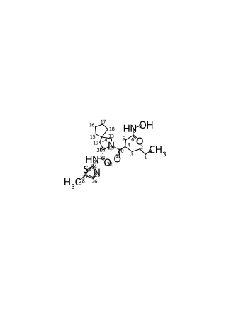 CCCCC(CC(=O)NO)C(=O)N1CC2(CCCC2)C[C@H]1C(=O)Nc1ncc(C)s1